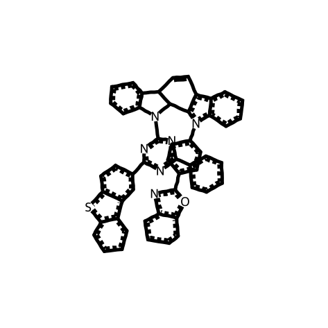 C1=CC2c3ccccc3N(c3nc(-c4ccccc4)nc(-c4ccc5sc6ccccc6c5c4)n3)C2c2c1c1ccccc1n2-c1ccc(-c2nc3ccccc3o2)cc1